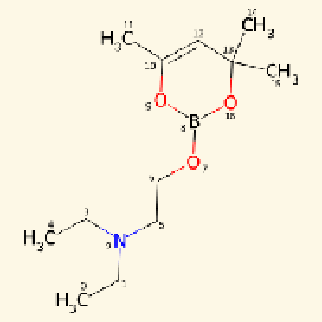 CCN(CC)CCOB1OC(C)=CC(C)(C)O1